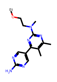 CCOCCN(C)c1nc(C)c(C)c(-c2cnc(N)nc2)n1